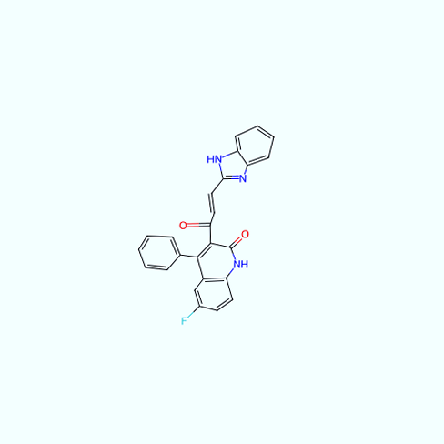 O=C(C=Cc1nc2ccccc2[nH]1)c1c(-c2ccccc2)c2cc(F)ccc2[nH]c1=O